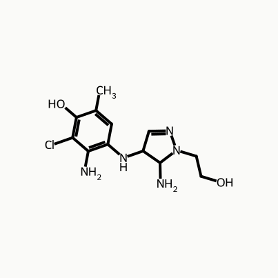 Cc1cc(NC2C=NN(CCO)C2N)c(N)c(Cl)c1O